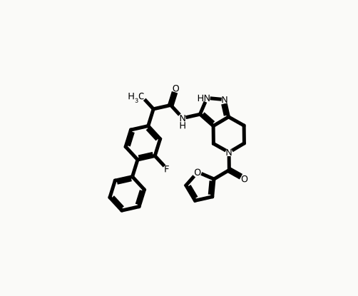 CC(C(=O)Nc1[nH]nc2c1CN(C(=O)c1ccco1)CC2)c1ccc(-c2ccccc2)c(F)c1